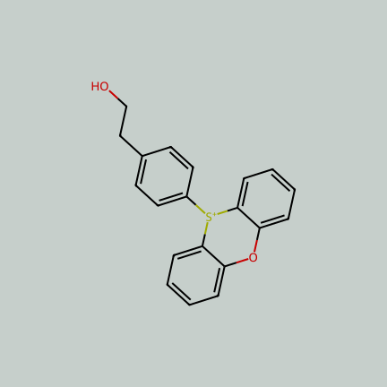 OCCc1ccc([S+]2c3ccccc3Oc3ccccc32)cc1